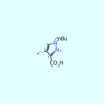 CCCCn1cc(F)c(C(=O)O)n1